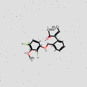 CC=C(C(=O)OC)c1ccccc1COc1ccc(F)c(OCCC)c1F